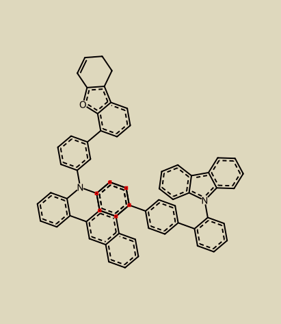 C1=Cc2oc3c(-c4cccc(N(c5ccc(-c6ccc(-c7ccccc7-n7c8ccccc8c8ccccc87)cc6)cc5)c5ccccc5-c5cc6ccccc6c6ccccc56)c4)cccc3c2CC1